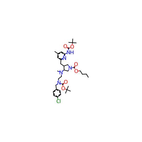 CCCCOC(=O)N1CC(Cc2cc(C)cc(NC(=O)OC(C)(C)C)n2)C(N(C)CCN(Cc2ccc(Cl)cc2)C(=O)OC(C)(C)C)C1